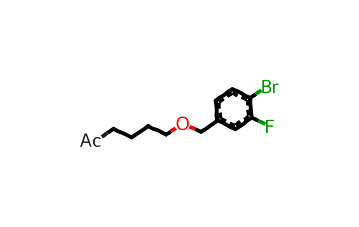 CC(=O)CCCCOCc1ccc(Br)c(F)c1